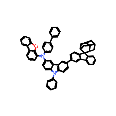 c1ccc(-c2ccc(N(c3ccc4c(c3)c3cc(-c5ccc6c(c5)-c5ccccc5C65C6CC7CC(C6)CC5C7)ccc3n4-c3ccccc3)c3cccc4c3oc3ccccc34)cc2)cc1